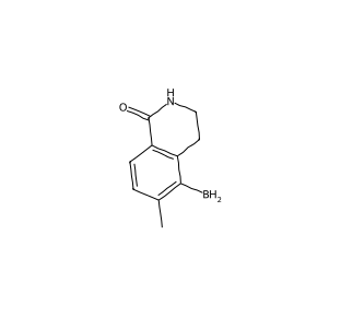 Bc1c(C)ccc2c1CCNC2=O